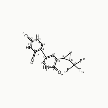 O=c1[nH]cc(-c2c[nH]c(=O)c(C3CC3C(F)(F)F)c2)c(=O)[nH]1